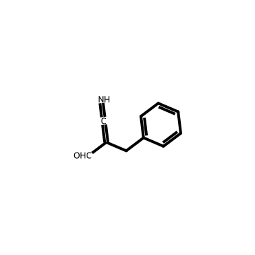 N=C=C(C=O)Cc1ccccc1